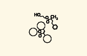 C=C(CCc1ccccc1)C(=O)OCCCO.O=C(OC1CCCCCCCCC1)C(=CC1CCCCCCCCC1)C1CCCCCCCCC1